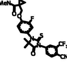 CNC(=O)C1(COc2ccc(N3C(=S)N(c4ccc(C#N)c(C(F)(F)F)c4)C(=O)C3(C)C)cc2F)CC1